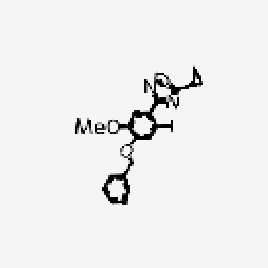 COc1cc(-c2noc(C3CC3)n2)c(I)cc1OCc1ccccc1